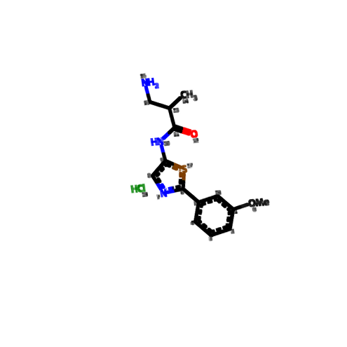 COc1cccc(-c2ncc(NC(=O)C(C)CN)s2)c1.Cl